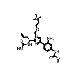 C=CC[C@H](NC(=O)O)c1nc(-c2ccc(NC(=O)OC)cc2N)cn1COCC[Si](C)(C)C